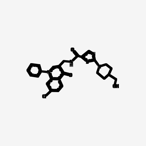 O=C(NCc1cn(-c2ccccc2)c2cc(Cl)ccc2c1=O)c1cnc(N2CCC(CO)CC2)s1